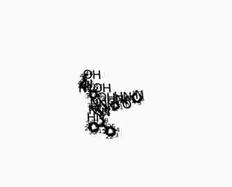 O=C(Nc1cccnc1)N[C@@H]1CCN(c2nc(NCC(c3ccccc3)c3ccccc3)c3ncn([C@@H]4C[C@H](n5ncc(CO)n5)[C@@H](O)[C@H]4O)c3n2)C1